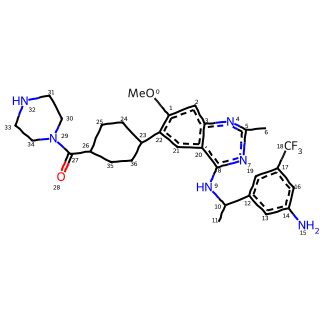 COc1cc2nc(C)nc(NC(C)c3cc(N)cc(C(F)(F)F)c3)c2cc1C1CCC(C(=O)N2CCNCC2)CC1